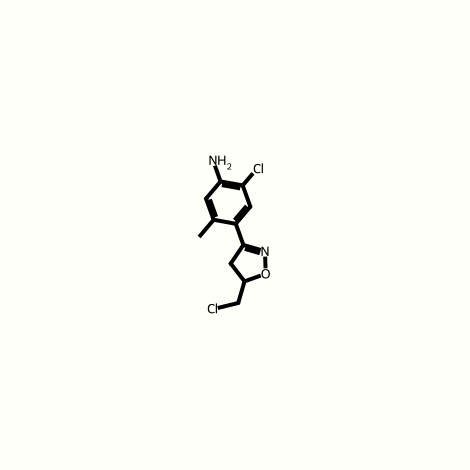 Cc1cc(N)c(Cl)cc1C1=NOC(CCl)C1